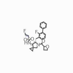 O=C(C1CCO1)N1CC2(CC2)[C@H](NS(=O)(=O)/C=C/F)[C@@H]1Cc1cccc(-c2ccccc2)c1F